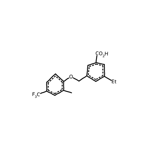 CCc1cc(COc2ccc(C(F)(F)F)cc2C)cc(C(=O)O)c1